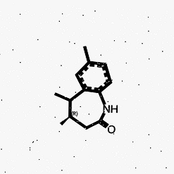 Cc1ccc2c(c1)C(C)[C@H](C)CC(=O)N2